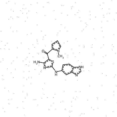 Cn1cccc1C(=O)c1sc(Nc2ccc3[nH]cnc3c2)nc1N